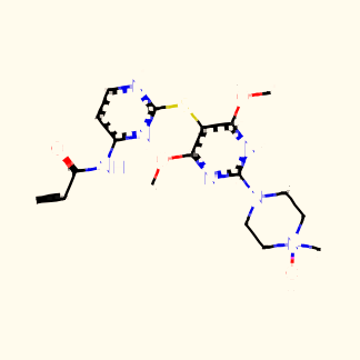 C=CC(=O)Nc1ccnc(Sc2c(OC)nc(N3CC[N+](C)([O-])CC3)nc2OC)n1